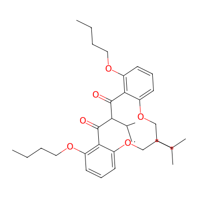 [CH2]C(C)C(C(=O)c1c(OCCCC)cccc1OCCCC)C(=O)c1c(OCCCC)cccc1OCCCC